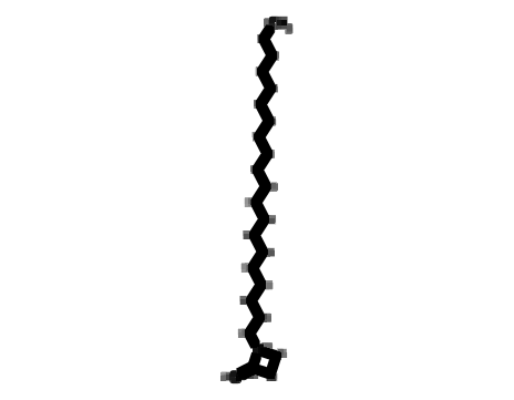 CCCCCCCCCCCCCCCCCCCCN1CCC1=O